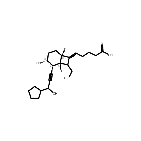 CCC1C(=CCCCC(=O)O)[C@H]2CC[C@@H](O)[C@H](C#CC(O)C3CCCC3)[C@@H]12